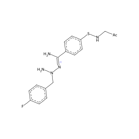 CC(=O)CNSc1ccc(/C(N)=N/N(N)Cc2ccc(F)cc2)cc1